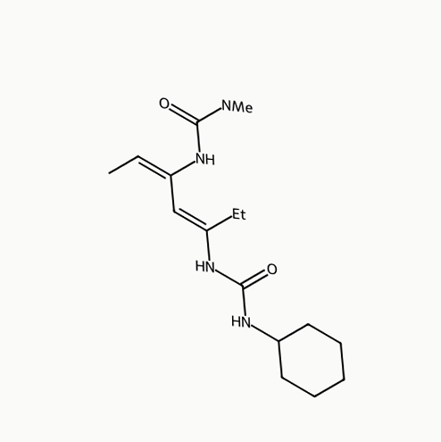 C/C=C(\C=C(/CC)NC(=O)NC1CCCCC1)NC(=O)NC